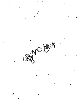 CN(C)CCNc1cc[c]c(-c2ccc(CN3CCC(n4c(=O)[nH]c5ccccc54)CC3)cc2)c1